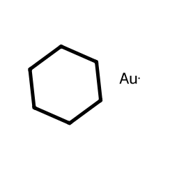 C1CCCCC1.[Au]